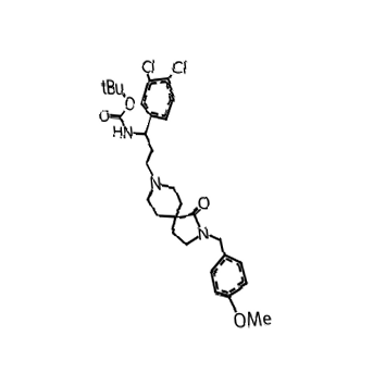 COc1ccc(CN2CCC3(CCN(CCC(NC(=O)OC(C)(C)C)c4ccc(Cl)c(Cl)c4)CC3)C2=O)cc1